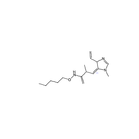 C=CC1N=CN(C)/C1=C/C(C)C(=C)NOCCCCC